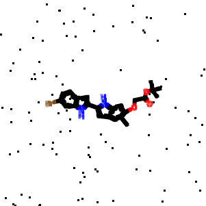 Cc1cc2cc(-c3cc4ccc(Br)cc4[nH]3)[nH]c2cc1OCC(=O)OC(C)(C)C